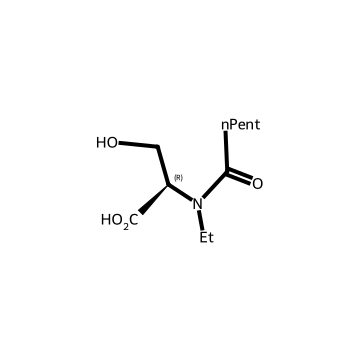 CCCCCC(=O)N(CC)[C@H](CO)C(=O)O